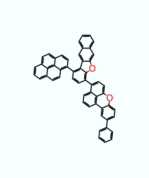 c1ccc(-c2ccc3c(c2)-c2cccc4c(-c5ccc(-c6ccc7ccc8cccc9ccc6c7c89)c6c5oc5cc7ccccc7cc56)ccc(c24)O3)cc1